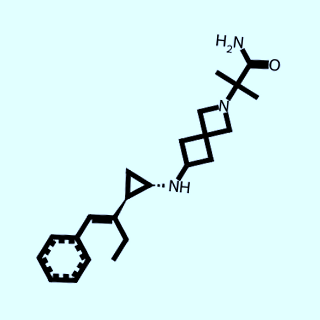 CC/C(=C\c1ccccc1)[C@H]1C[C@@H]1NC1CC2(C1)CN(C(C)(C)C(N)=O)C2